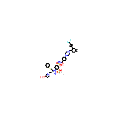 CC1(C)CCC(CN2CCN(c3ccc(C(=O)NS(=O)(=O)c4ccc(N[C@H](CCN5CCC(O)C5)CSc5ccccc5)c(S(=O)(=O)C(F)(F)F)c4)cc3)CC2)=C(C23CC(C(F)F)(C2)C3)C1